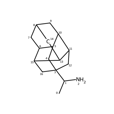 CC(N)C12CC3C4CC5CC3C(C1)C(C5)C4C2